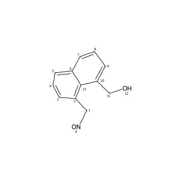 O=NCc1cccc2cccc(CO)c12